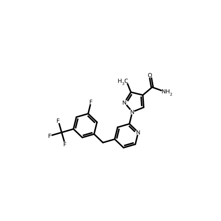 Cc1nn(-c2cc(Cc3cc(F)cc(C(F)(F)F)c3)ccn2)cc1C(N)=O